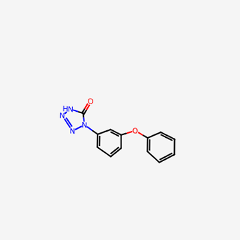 O=c1[nH]nnn1-c1cccc(Oc2ccccc2)c1